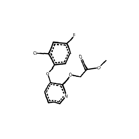 COC(=O)COc1ncccc1Oc1c[c]c(F)cc1Cl